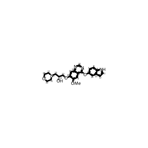 COc1cc2c(Oc3ccc4[nH]ccc4c3)ncnc2cc1OC[C@H](O)CN1CCOCC1